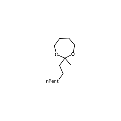 CCCCCCCC1(C)OCCCCO1